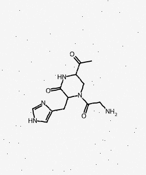 CC(=O)C1CN(C(=O)CN)C(Cc2c[nH]cn2)C(=O)N1